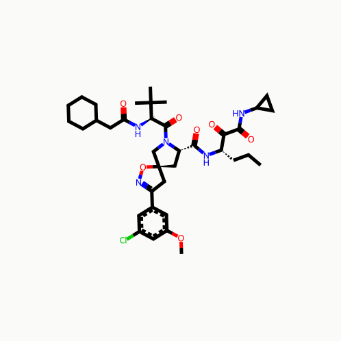 CCC[C@H](NC(=O)[C@@H]1C[C@]2(CC(c3cc(Cl)cc(OC)c3)=NO2)CN1C(=O)[C@@H](NC(=O)CC1CCCCC1)C(C)(C)C)C(=O)C(=O)NC1CC1